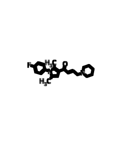 Cc1cc(C(=O)/C=C/CN2CCCCC2)c(C)n1-c1ccc(F)cc1